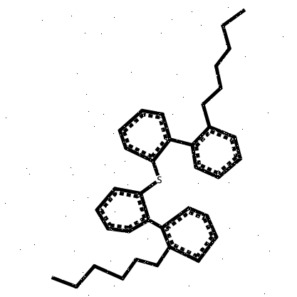 CCCCCCc1ccccc1-c1ccccc1Sc1ccccc1-c1ccccc1CCCCCC